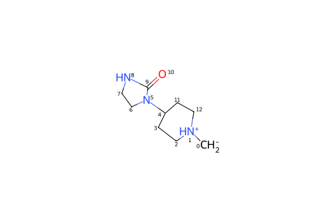 [CH2-][NH+]1CCC(N2CCNC2=O)CC1